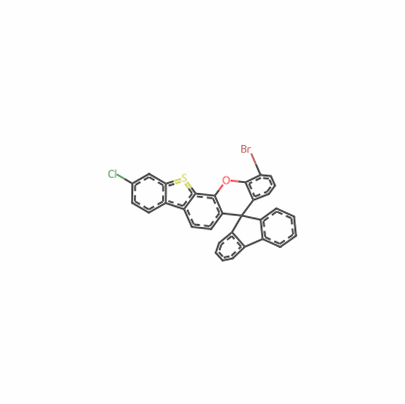 Clc1ccc2c(c1)sc1c3c(ccc12)C1(c2ccccc2-c2ccccc21)c1cccc(Br)c1O3